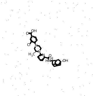 C[C@@H]1CN(c2ccc(C(=O)O)cc2Cl)CCN1c1cccc(C(=O)N[C@H]2C3CC4CC2C[C@](O)(C4)C3)n1